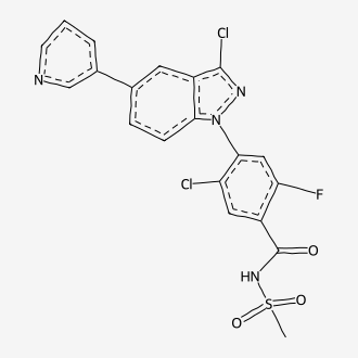 CS(=O)(=O)NC(=O)c1cc(Cl)c(-n2nc(Cl)c3cc(-c4cccnc4)ccc32)cc1F